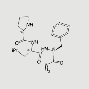 CC(C)C[C@H](NC(=O)[C@@H]1CCCN1)C(=O)N[C@@H](Cc1ccccc1)C(N)=O